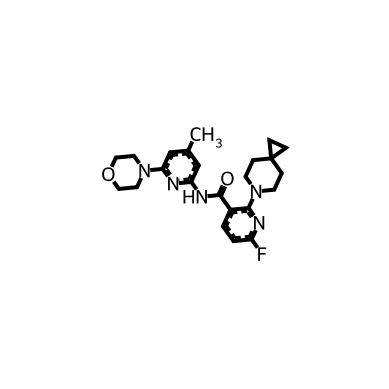 Cc1cc(NC(=O)c2ccc(F)nc2N2CCC3(CC2)CC3)nc(N2CCOCC2)c1